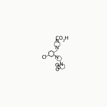 O=C(O)N1CCN(Cc2ccc(Cl)cc2N2CCC(N3CCCS3(=O)=O)C2)CC1